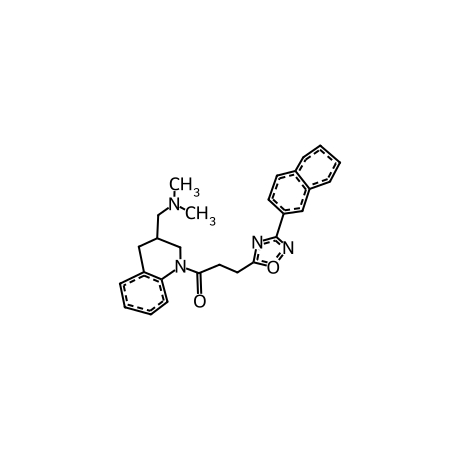 CN(C)CC1Cc2ccccc2N(C(=O)CCc2nc(-c3ccc4ccccc4c3)no2)C1